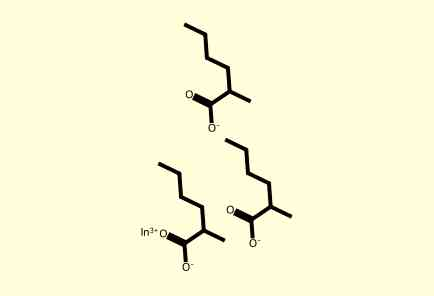 CCCCC(C)C(=O)[O-].CCCCC(C)C(=O)[O-].CCCCC(C)C(=O)[O-].[In+3]